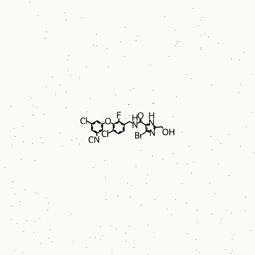 N#Cc1cc(Cl)cc(Oc2c(Cl)ccc(CNC(=O)c3[nH]c(CO)nc3Br)c2F)c1